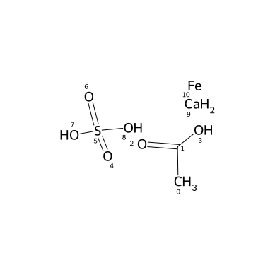 CC(=O)O.O=S(=O)(O)O.[CaH2].[Fe]